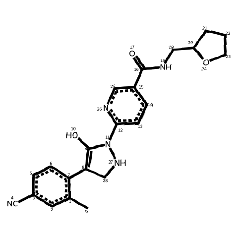 Cc1cc(C#N)ccc1C1=C(O)N(c2ccc(C(=O)NCC3CCCO3)cn2)NC1